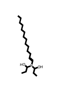 CCCCCCCCCCCCC=CN(C(O)CC)C(O)CC